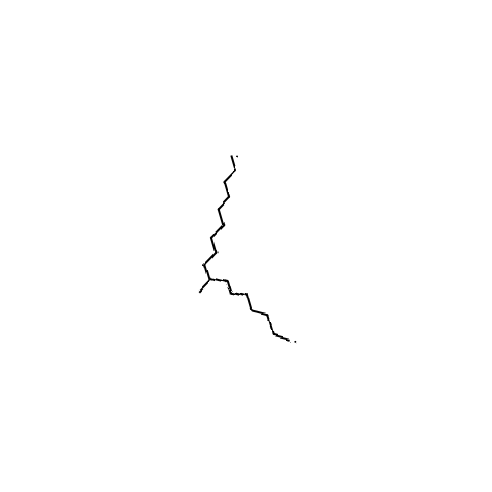 [CH2]CCCCCCCCC(C)CCCCCC[CH2]